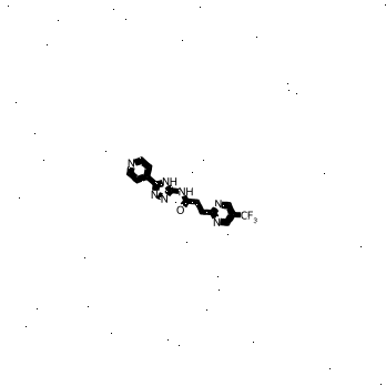 O=C(CCc1ncc(C(F)(F)F)cn1)Nc1nnc(-c2ccncc2)[nH]1